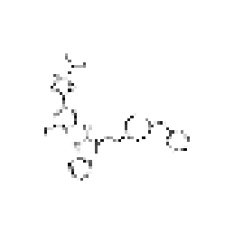 O=C(NCCN1CCCN(Cc2ccccc2)CC1)N(Cc1ccc(-c2nnc(C(F)F)o2)cc1F)c1ccccc1